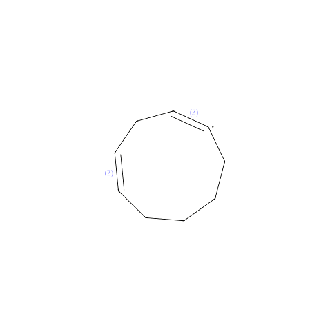 [C]1=C\C/C=C\CCCC/1